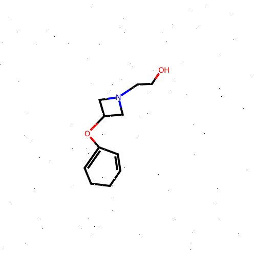 OCCN1CC(OC2=CC[CH]C=C2)C1